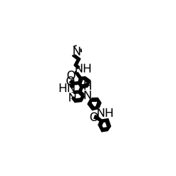 CN(C)CCCNC(=O)c1cccc2c1c(=O)[nH]c1nccc(Nc3ccc(NC(=O)c4ccccc4)cc3)c12